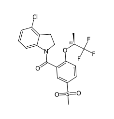 C[C@H](Oc1ccc(S(C)(=O)=O)cc1C(=O)N1CCc2c(Cl)cccc21)C(F)(F)F